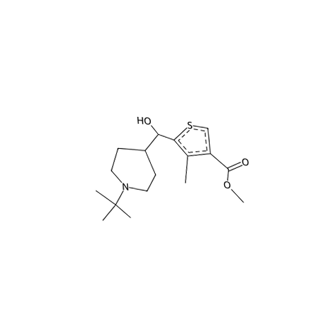 COC(=O)c1csc(C(O)C2CCN(C(C)(C)C)CC2)c1C